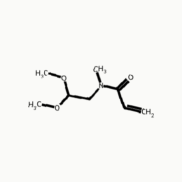 C=CC(=O)N(C)CC(OC)OC